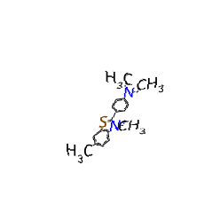 CCN(CC)c1ccc(-c2sc3cc(C)ccc3[n+]2C)cc1